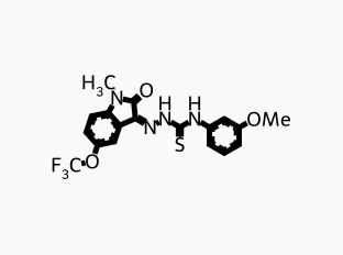 COc1cccc(NC(=S)N/N=C2\C(=O)N(C)c3ccc(OC(F)(F)F)cc32)c1